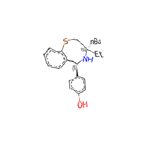 CCCC[C@@]1(CC)CSc2ccccc2[C@H](c2ccc(O)cc2)N1